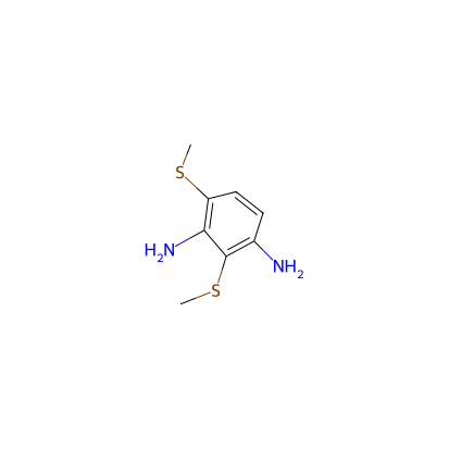 CSc1ccc(N)c(SC)c1N